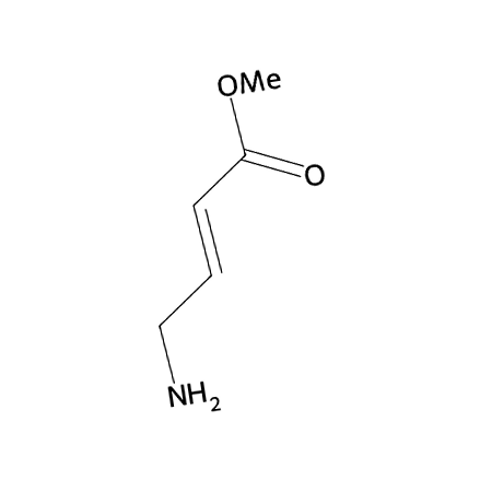 COC(=O)C=CCN